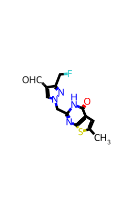 Cc1cc2c(=O)[nH]c(Cn3cc(C=O)c(CF)n3)nc2s1